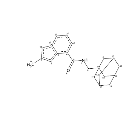 Cc1cc2c(C(=O)NCC34CC5CC(CC(C5)C3)C4)cccn2c1